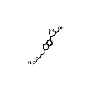 CCOCCC[C@@H]1CCc2cc([C@H](CN)CCCO)ccc2C1